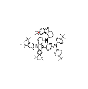 Cc1cc2c(cc1N1c3cc4c(cc3B3c5ccc(N(c6ccc(C(C)(C)C)cc6)c6ccc(C(C)(C)C)cc6)cc5N(c5cccc6sc7ccccc7c56)c5cc(C(C)(C)C)cc1c53)C(C)(C)CCC4(C)C)C(C)(C)CC2(C)C